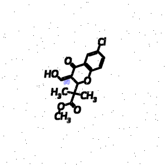 COC(=O)C(C)(C)C1Oc2ccc(Cl)cc2C(=O)/C1=C\O